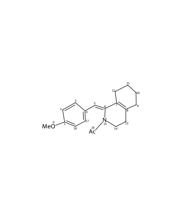 COc1ccc(C=C2C3=C(CCCC3)CCN2C(C)=O)cc1